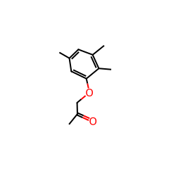 CC(=O)COc1cc(C)cc(C)c1C